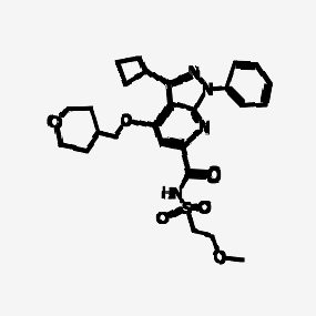 COCCS(=O)(=O)NC(=O)c1cc(OCC2CCOCC2)c2c(C3CCC3)nn(-c3ccccc3)c2n1